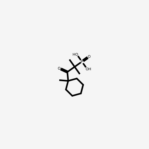 CC1(C(=O)C(C)(C)P(=O)(O)O)CCCCC1